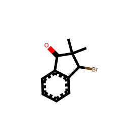 CC1(C)C(=O)c2ccccc2C1Br